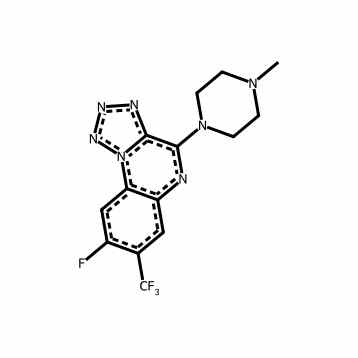 CN1CCN(c2nc3cc(C(F)(F)F)c(F)cc3n3nnnc23)CC1